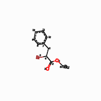 CCCCOC(=O)C(Br)Cc1ccccc1